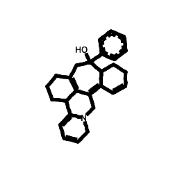 OC1(c2ccccc2)CC2=C3C(=C4C=CCCC41)CN1CC=CC=C1C3CCC2